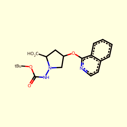 CC(C)(C)OC(=O)NN1CC(Oc2nccc3ccccc23)CC1C(=O)O